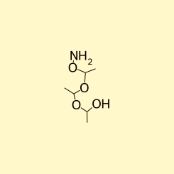 CC(O)OC(C)OC(C)ON